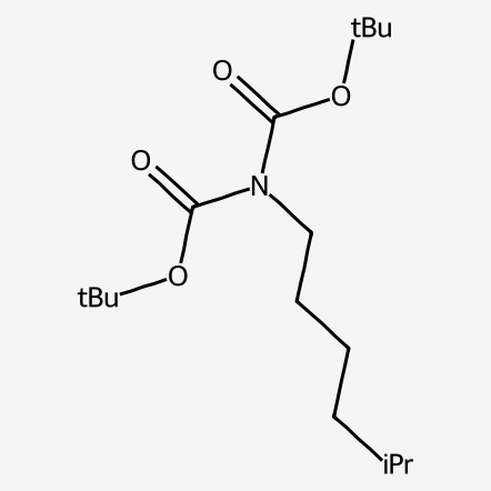 CC(C)CCCCN(C(=O)OC(C)(C)C)C(=O)OC(C)(C)C